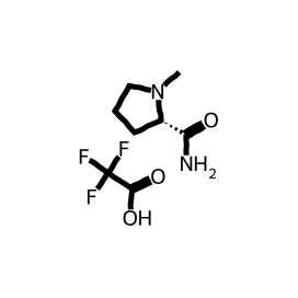 CN1CCC[C@H]1C(N)=O.O=C(O)C(F)(F)F